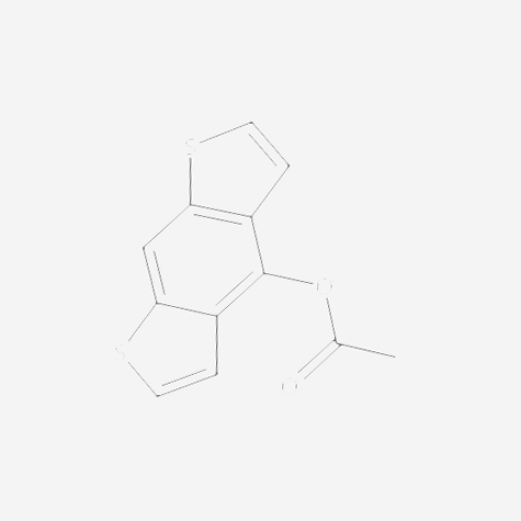 CC(=O)Oc1c2ccsc2cc2sccc12